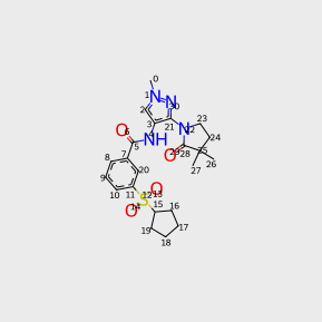 Cn1cc(NC(=O)c2cccc(S(=O)(=O)C3CCCC3)c2)c(N2CCC(C)(C)C2=O)n1